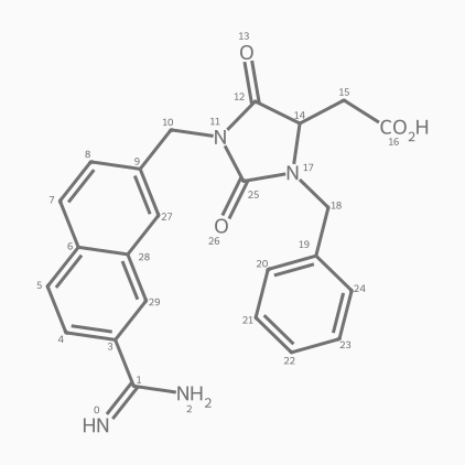 N=C(N)c1ccc2ccc(CN3C(=O)C(CC(=O)O)N(Cc4ccccc4)C3=O)cc2c1